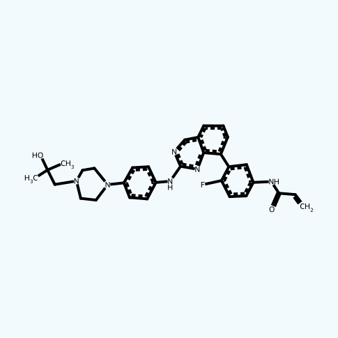 C=CC(=O)Nc1ccc(F)c(-c2cccc3cnc(Nc4ccc(N5CCN(CC(C)(C)O)CC5)cc4)nc23)c1